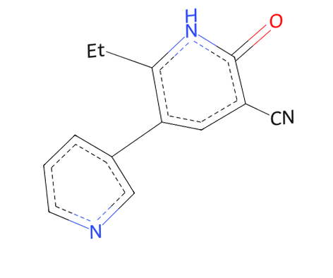 CCc1[nH]c(=O)c(C#N)cc1-c1cccnc1